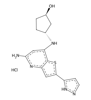 Cl.Nc1cc(N[C@@H]2CC[C@@H](O)C2)c2sc(-c3ccn[nH]3)cc2n1